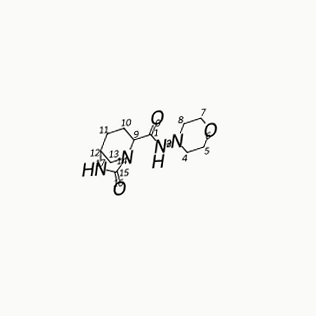 O=C(NN1CCOCC1)C1CCC2CN1C(=O)N2